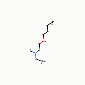 CSCN(C)CCOCCCC(C)C